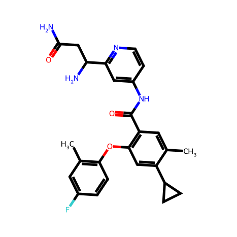 Cc1cc(F)ccc1Oc1cc(C2CC2)c(C)cc1C(=O)Nc1ccnc(C(N)CC(N)=O)c1